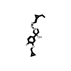 CCC1C/C1=C\N=N/NC[C@](O)(CC)c1ccc(F)c(OCC2CC2)c1